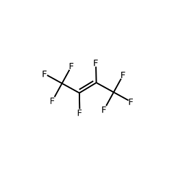 FC(=C(F)C(F)(F)F)C(F)(F)F